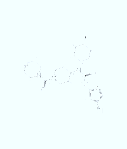 C[C@H]1CC[C@H](N(C(=O)Nc2ncc(Cl)s2)C2CCN(C(=O)N3CCOCC3)CC2)CC1